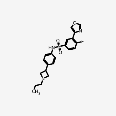 CCCN1CC(c2ccc(NS(=O)(=O)c3ccc(F)c(-c4cocn4)c3)cc2)C1